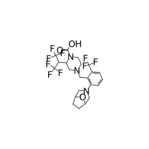 O=C(O)N1CCN(Cc2c(N3CC4CCC(C3)O4)cccc2C(F)(F)F)CC1C(C(F)(F)F)C(F)(F)F